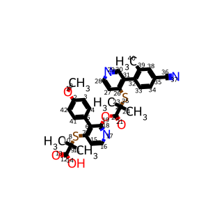 COc1ccc(-c2c(SC(C)(C)C(=O)O)ccnc2OC(=O)C(C)(C)Sc2ccncc2-c2ccc(C#N)cc2C)cc1